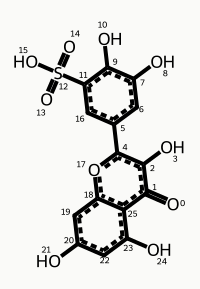 O=c1c(O)c(-c2cc(O)c(O)c(S(=O)(=O)O)c2)oc2cc(O)cc(O)c12